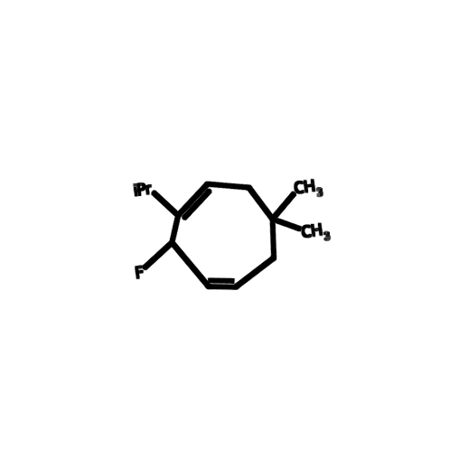 CC(C)/C1=C/CC(C)(C)CC=CC1F